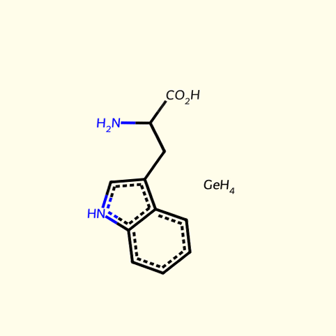 NC(Cc1c[nH]c2ccccc12)C(=O)O.[GeH4]